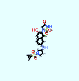 O=C1CN(c2c(O)cc3ccc(NC4CCN(S(=O)(=O)C5CC5)C4)cc3c2F)S(=O)(=O)N1